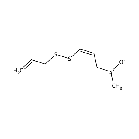 C=CCSS/C=C\C[S+](C)[O-]